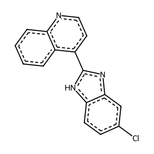 Clc1ccc2[nH]c(-c3ccnc4ccccc34)nc2c1